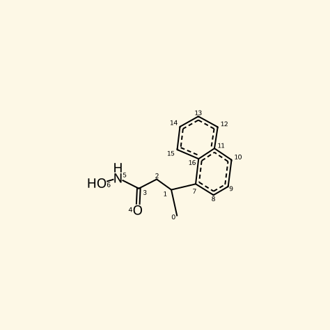 CC(CC(=O)NO)c1cccc2ccccc12